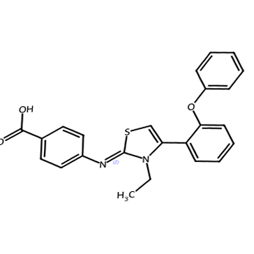 CCn1c(-c2ccccc2Oc2ccccc2)cs/c1=N\c1ccc(C(=O)O)cc1